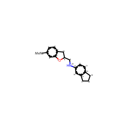 CNc1ccc2c(c1)OC(CNc1ccc3c(c1)CCC3)C2